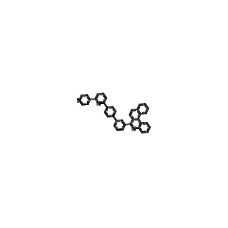 c1cc(-c2ccc(-c3cccc(-c4ccncc4)n3)cc2)cc(-c2nc3ccccc3c3c2ccc2ccccc23)c1